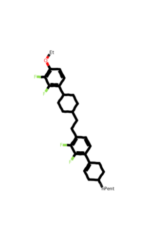 CCCCCC1CC=C(c2ccc(CCC3CCC(c4ccc(OCC)c(F)c4F)CC3)c(F)c2F)CC1